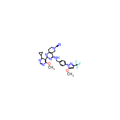 COc1ncnc(C2CC2)c1-c1nc2c(c(NCc3ccc(-n4nc(C(F)(F)F)cc4OC)cc3)n1)CN(C#N)CC2